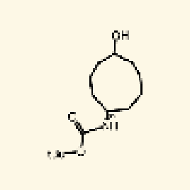 CC(C)(C)OC(=O)N[C@@H]1CCCCC(O)CCC1